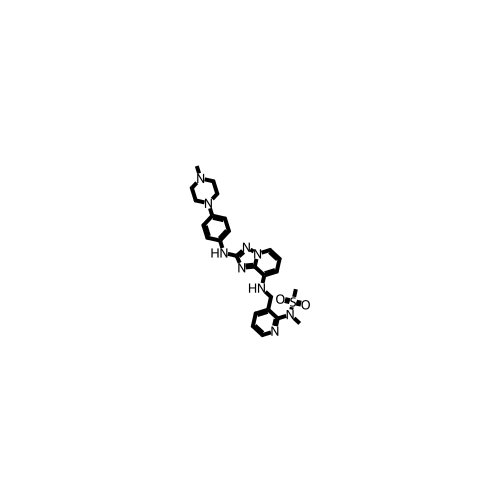 CN1CCN(c2ccc(Nc3nc4c(NCc5cccnc5N(C)S(C)(=O)=O)cccn4n3)cc2)CC1